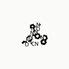 C=CC(=O)N1CCN(c2nc(N3CCC[C@@H]3C(=O)N(C)C)nc3c2CC[C@@H](N2CCCc4ccccc42)C3)C[C@@H]1CC#N